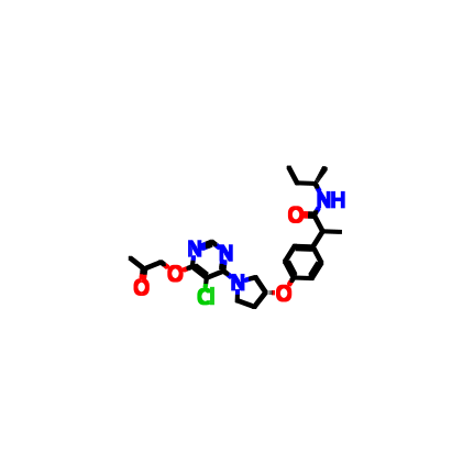 CC[C@@H](C)NC(=O)C(C)c1ccc(O[C@@H]2CCN(c3ncnc(OCC(C)=O)c3Cl)C2)cc1